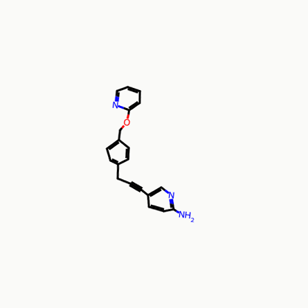 Nc1ccc(C#CCc2ccc(COc3ccccn3)cc2)cn1